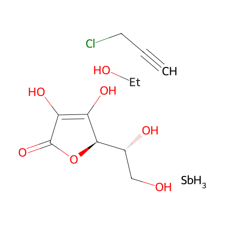 C#CCCl.CCO.O=C1O[C@H]([C@H](O)CO)C(O)=C1O.[SbH3]